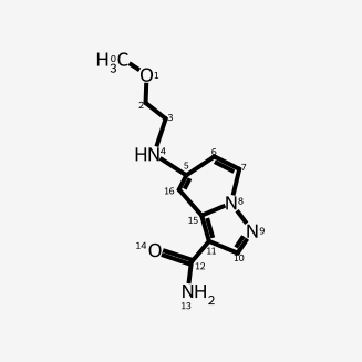 COCCNc1ccn2ncc(C(N)=O)c2c1